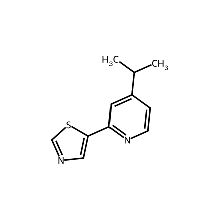 CC(C)c1ccnc(-c2cncs2)c1